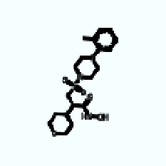 Cc1ccccc1N1CCN(S(=O)(=O)C[C@@H](C(=O)NO)C2CCOCC2)CC1